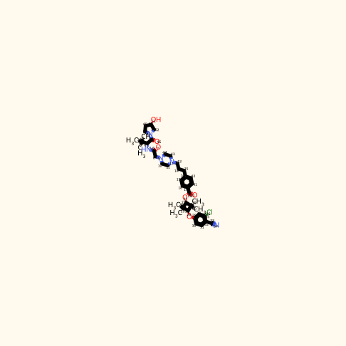 CC(C)(C)[C@H](NC(=O)CN1CCN(CCCc2ccc(C(=O)O[C@H]3C(C)(C)[C@H](Oc4ccc(C#N)c(Cl)c4)C3(C)C)cc2)CC1)C(=O)N1CC[C@@H](O)C1